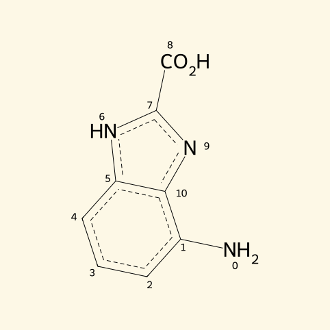 Nc1cccc2[nH]c(C(=O)O)nc12